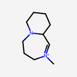 C[N+]1=CC2CCCCN2CCC1